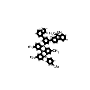 Cc1cc2c3c(c1)N(c1cc(-c4ccc5c(c4)C(C)(C)c4ccccc4-5)cc(-c4cccc5sccc45)c1)c1ccc(C(C)(C)C)cc1B3c1cc(C(C)(C)C)ccc1N2c1ccc(C(C)(C)C)cc1